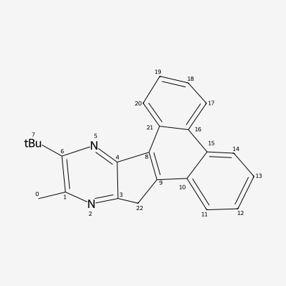 Cc1nc2c(nc1C(C)(C)C)-c1c(c3ccccc3c3ccccc13)C2